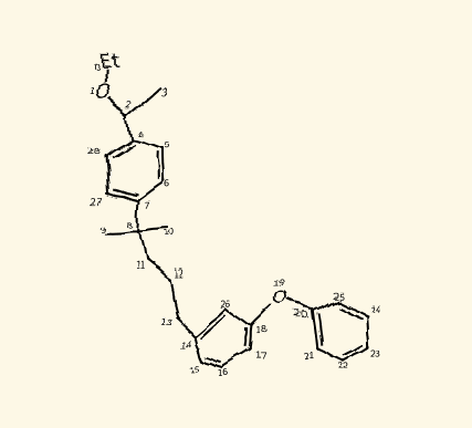 CCOC(C)c1ccc(C(C)(C)CCCc2cccc(Oc3ccccc3)c2)cc1